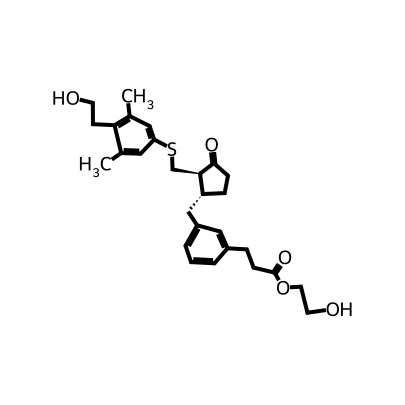 Cc1cc(SC[C@H]2C(=O)CC[C@@H]2Cc2cccc(CCC(=O)OCCO)c2)cc(C)c1CCO